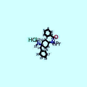 CCCN(C(=O)c1ccccc1)C1CCC(Cc2ccccc2)(N(C)C)CC1.Cl